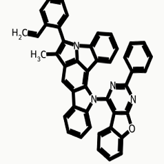 C=Cc1ccccc1-c1c(C)c2cc3c4ccccc4n(-c4nc(-c5ccccc5)nc5oc6ccccc6c45)c3c3c4ccccc4n1c23